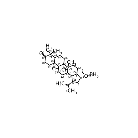 BOC[C@]12CC[C@@H](C(C)C)C1C1CCC3[C@@]4(C)CCC(=O)C(C)(C)C4CC[C@@]3(C)[C@]1(C)CC2